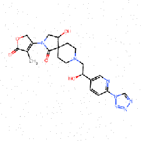 CC1=C(N2CC(O)C3(CCN(C[C@H](O)c4ccc(-n5cnnn5)nc4)CC3)C2=O)COC1=O